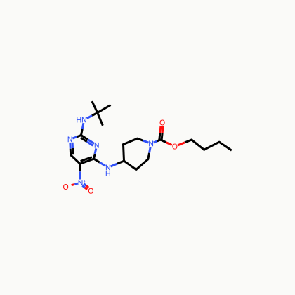 CCCCOC(=O)N1CCC(Nc2nc(NC(C)(C)C)ncc2[N+](=O)[O-])CC1